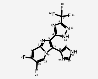 Fc1cc2nc(-c3nc(C(F)(F)F)n[nH]3)c(-c3c[nH]cn3)n2cc1F